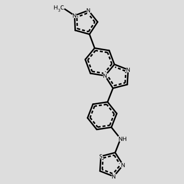 Cn1cc(-c2ccn3c(-c4cccc(Nc5nncs5)c4)cnc3c2)cn1